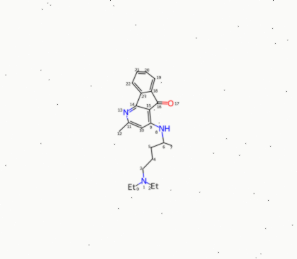 CCN(CC)CCCC(C)Nc1cc(C)nc2c1C(=O)c1ccccc1-2